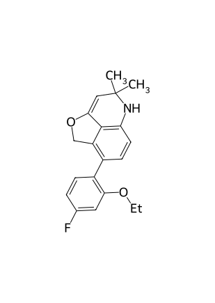 CCOc1cc(F)ccc1-c1ccc2c3c1COC3=CC(C)(C)N2